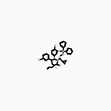 C=CC[C@@]1(C)CC(c2cccc(Cl)c2)[C@@H](c2ccc(Cl)cc2)N([C@H](CO[Si](c2ccccc2)(c2ccccc2)C(C)(C)C)C2CC2)C1=O